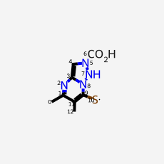 CC1=NC2=CN(C(=O)O)NN2C([S])=C1C